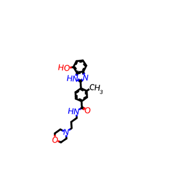 Cc1cc(C(=O)NCCCN2CCOCC2)ccc1-c1nc2cccc(O)c2[nH]1